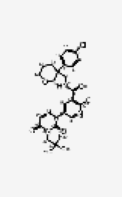 O=C(NCC1(c2ccc(Cl)cc2)CCCOC1)c1cc(-n2ncc(=O)n(CC(F)(F)F)c2=O)cnc1Cl